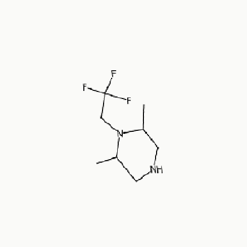 CC1CNCC(C)N1CC(F)(F)F